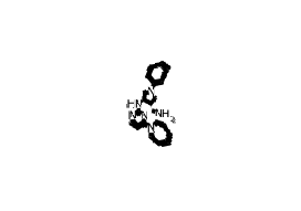 NC[C@H]1CN(C2CCCCC2)C[C@@H]1Nc1nccc(N2CCCCCC2)n1